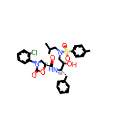 Cc1ccc(S(=O)(=O)N(CC(C)C)C[C@@H](O)[C@H](Cc2ccccc2)NC(=O)[C@@H]2CN(c3ccccc3Cl)C(=O)O2)cc1